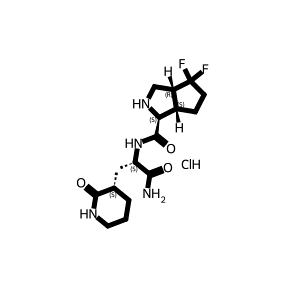 Cl.NC(=O)[C@H](C[C@@H]1CCCNC1=O)NC(=O)[C@H]1NC[C@H]2[C@@H]1CCC2(F)F